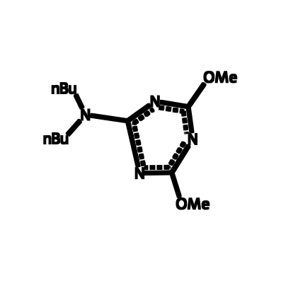 CCCCN(CCCC)c1nc(OC)nc(OC)n1